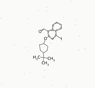 CC(C)(C)C1CCC(Oc2cc(I)c3ccccc3c2C=O)CC1